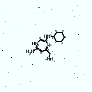 NCC1=NC(NC2CCCCC2)=CNC(N)=C1